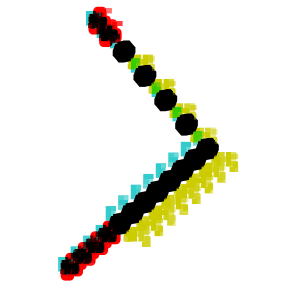 Fc1ccc([SH2+])cc1.Fc1ccc([SH2+])cc1.Fc1ccc([SH2+])cc1.Fc1ccc([SH2+])cc1.Fc1ccc([SH2+])cc1.Fc1ccc([SH2+])cc1.Fc1ccc([SH2+])cc1.Fc1ccc([SH2+])cc1.Fc1ccc([SH2+])cc1.Fc1ccc([SH2+])cc1.Fc1ccc([SH2+])cc1.Fc1ccc([SH2+])cc1.[O]=[Sb]([O-])([O-])[F].[O]=[Sb]([O-])([O-])[F].[O]=[Sb]([O-])([O-])[F].[O]=[Sb]([O-])([O-])[F].[O]=[Sb]([O-])([O-])[F].[O]=[Sb]([O-])([O-])[F]